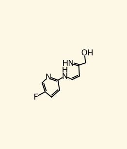 N=C(/C=C\Nc1ccc(F)cn1)CO